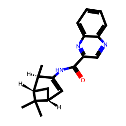 C[C@H]1C(NC(=O)c2cnc3ccccc3n2)=C[C@H]2C[C@@H]1C2(C)C